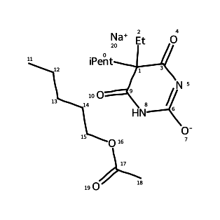 CCCC(C)C1(CC)C(=O)N=C([O-])NC1=O.CCCCCOC(C)=O.[Na+]